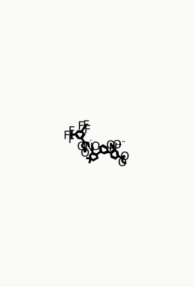 COC(=O)c1ccc(-c2ccc(OC)c(C3=C(CN4C(=O)OC(c5cc(C(F)(F)F)cc(C(F)(F)F)c5)[C@@H]4C)CC(C)(C)CC3)c2)c([N+](=O)[O-])c1